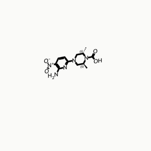 C[C@H]1CN(c2ccc([N+](=O)[O-])c(N)n2)C[C@H](C)N1C(=O)O